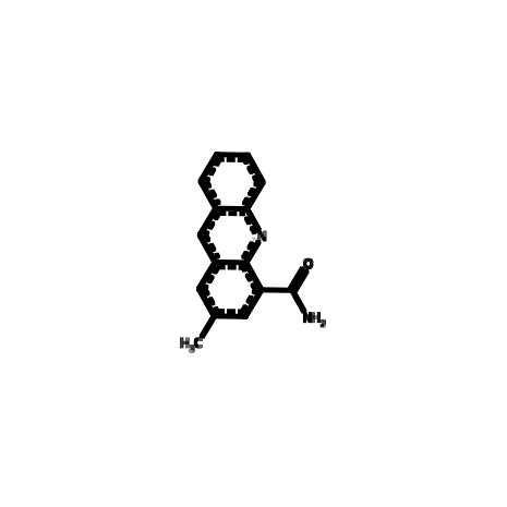 Cc1cc(C(N)=O)c2nc3ccccc3cc2c1